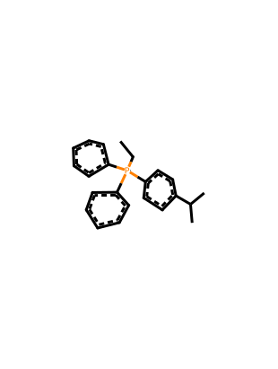 CC[P](c1ccccc1)(c1ccccc1)c1ccc(C(C)C)cc1